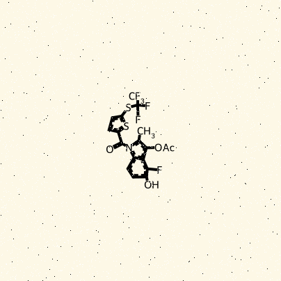 CC(=O)Oc1c(C)n(C(=O)c2ccc(SC(F)(F)C(F)(F)F)s2)c2ccc(O)c(F)c12